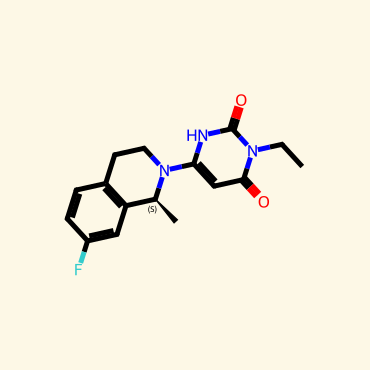 CCn1c(=O)cc(N2CCc3ccc(F)cc3[C@@H]2C)[nH]c1=O